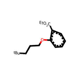 CCOC(=O)c1ccccc1OCCCC(C)(C)C